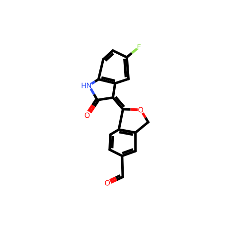 O=Cc1ccc2c(c1)CO/C2=C1/C(=O)Nc2ccc(F)cc21